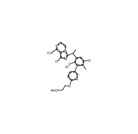 CCOc1c(C(C)c2nc(Cl)c3c(N)nccn23)cc(Cl)c(C)c1-c1ccc(OCCOC)nc1